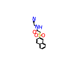 N#CCNC(=O)CS(=O)(=O)c1ccc2ccccc2c1